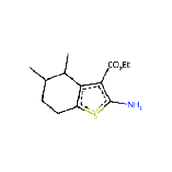 CCOC(=O)c1c(N)sc2c1C(C)C(C)CC2